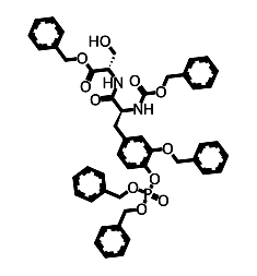 O=C(N[C@@H](Cc1ccc(OP(=O)(OCc2ccccc2)OCc2ccccc2)c(OCc2ccccc2)c1)C(=O)N[C@@H](CO)C(=O)OCc1ccccc1)OCc1ccccc1